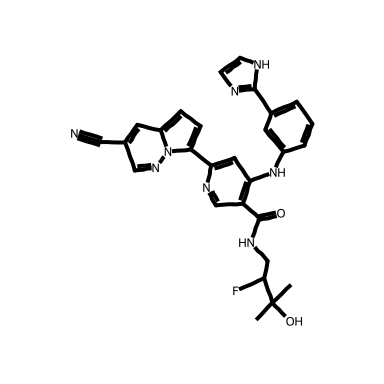 CC(C)(O)C(F)CNC(=O)c1cnc(-c2ccc3cc(C#N)cnn23)cc1Nc1cccc(-c2ncc[nH]2)c1